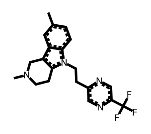 Cc1ccc2c(c1)c1c(n2CCc2cnc(C(F)(F)F)cn2)CCN(C)C1